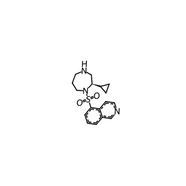 O=S(=O)(c1cccc2cnccc12)N1CCCNC[C@H]1C1CC1